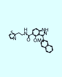 COc1c(C(=O)NCCc2nccs2)ccc2[nH]nc(-c3ccc4ccccc4c3)c12